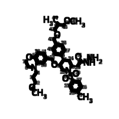 COCCCN1CCOc2ccc(CO[C@H]3CN(S(=O)(=O)c4ccc(C)cc4)[C@@H](CC(=O)NN)C[C@@H]3c3ccc(COCC(C)COC)cc3)cc21